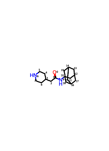 O=C(CC1CCNCC1)NC12CC3CC(CC(C3)C1)C2